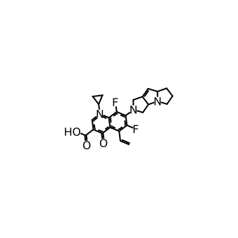 C=Cc1c(F)c(N2CC3=CC4CCCN4C3C2)c(F)c2c1c(=O)c(C(=O)O)cn2C1CC1